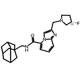 O=C(NCC12CC3CC(CC(C3)C1)C2)c1cccc2nc(CN3CC[C@H](F)C3)cn12